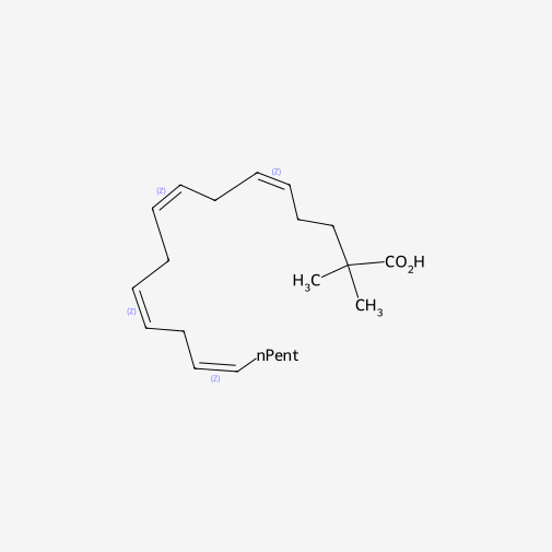 CCCCC/C=C\C/C=C\C/C=C\C/C=C\CCC(C)(C)C(=O)O